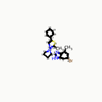 Cc1cc(Br)cc2[nH]c([C@@H]3CCCN3N3[C]=C(c4ccccc4)SC3C)nc12